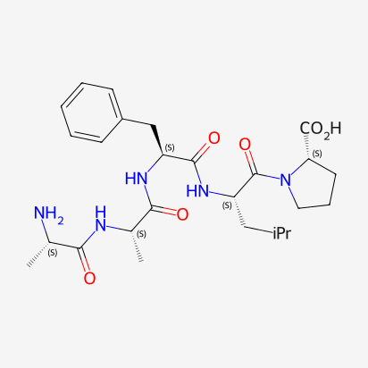 CC(C)C[C@H](NC(=O)[C@H](Cc1ccccc1)NC(=O)[C@H](C)NC(=O)[C@H](C)N)C(=O)N1CCC[C@H]1C(=O)O